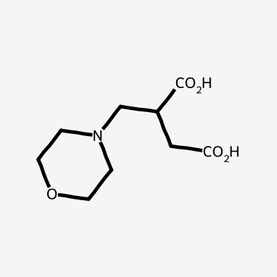 O=C(O)CC(CN1CCOCC1)C(=O)O